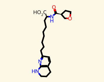 O=C(N[C@@H](CCCCCCCc1ccc2c(n1)NCCC2)C(=O)O)[C@H]1CCOC1